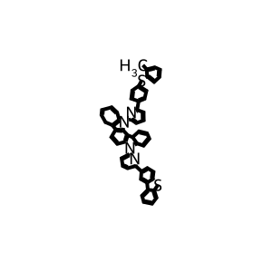 Cc1ccccc1Sc1ccc(-c2cccc(-n3c4c(c5ccc6c(c53)C3C=CC=CC3N6c3cccc(-c5ccc6sc7ccccc7c6c5)n3)CC=CC=C4)n2)cc1